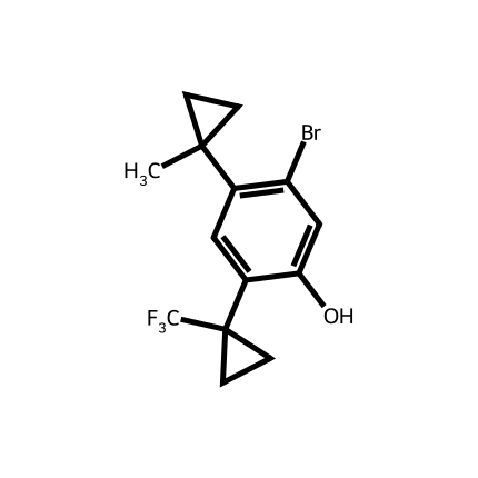 CC1(c2cc(C3(C(F)(F)F)CC3)c(O)cc2Br)CC1